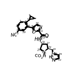 N#Cc1ccc(C2CC2)c(-c2cnc(C(=O)N[C@@H]3C[C@@H](Cn4ccnn4)N(C(=O)O)C3)o2)c1